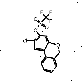 O=S(=O)(Oc1cc2c(cc1Cl)-c1ccccc1CO2)C(F)(F)F